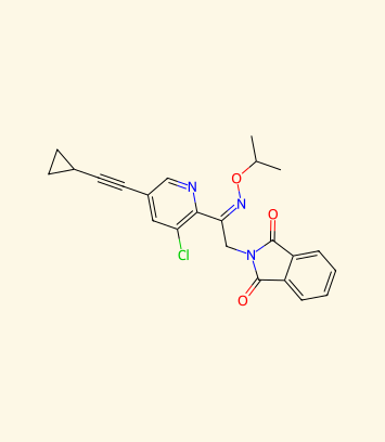 CC(C)ON=C(CN1C(=O)c2ccccc2C1=O)c1ncc(C#CC2CC2)cc1Cl